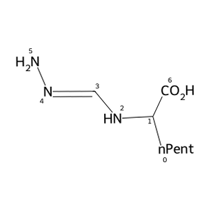 CCCCCC(NC=NN)C(=O)O